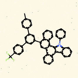 Cc1ccc(-c2cc(-c3ccc(C(F)(F)F)cc3)cc(-c3cc4c5ccccc5c5c6ccccc6n(-c6ccccc6)c5c4c4ccccc34)c2)cc1